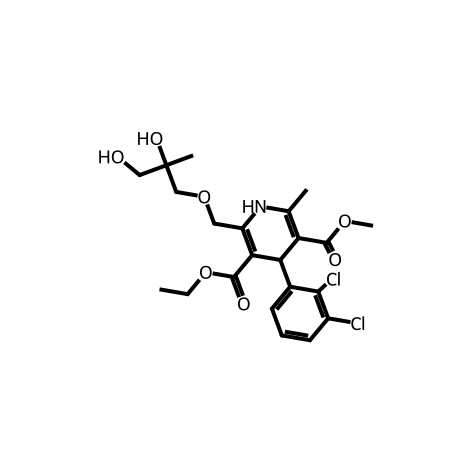 CCOC(=O)C1=C(COCC(C)(O)CO)NC(C)=C(C(=O)OC)C1c1cccc(Cl)c1Cl